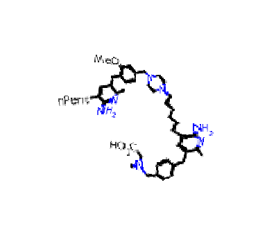 CCCCCc1cc(Cc2ccc(CN3CCN(CCCCCCc4cc(Cc5ccc(CN(C)CC(=O)O)cc5)c(C)nc4N)CC3)cc2OC)c(C)nc1N